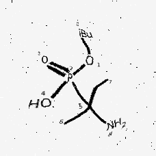 CCC(C)OP(=O)(O)C(C)(C)N